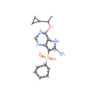 CC(Oc1ncnc2c(S(=O)(=O)c3ccccc3)c(N)[nH]c12)C1CC1